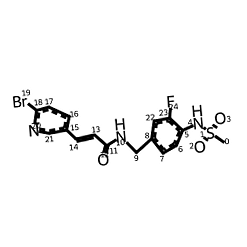 CS(=O)(=O)Nc1ccc(CNC(=O)C=Cc2ccc(Br)nc2)cc1F